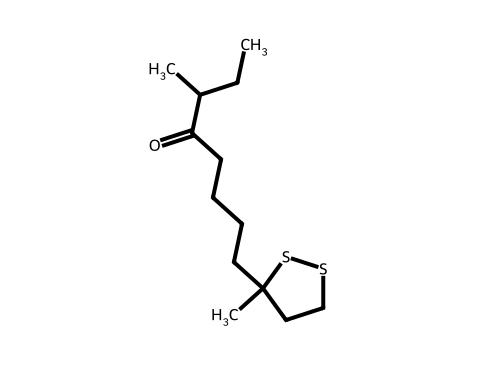 CCC(C)C(=O)CCCCC1(C)CCSS1